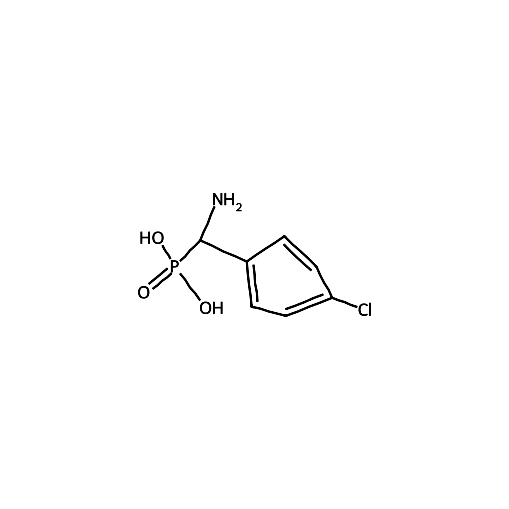 NC(c1ccc(Cl)cc1)P(=O)(O)O